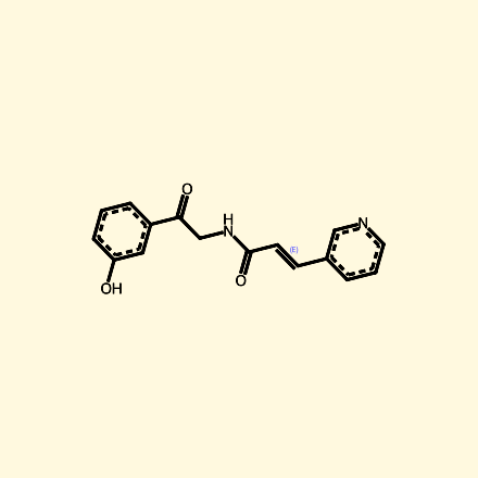 O=C(/C=C/c1cccnc1)NCC(=O)c1cccc(O)c1